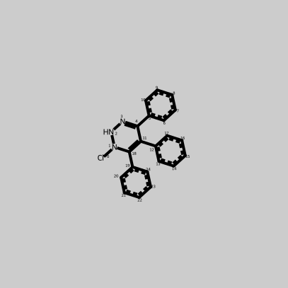 ClN1NN=C(c2ccccc2)C(c2ccccc2)=C1c1ccccc1